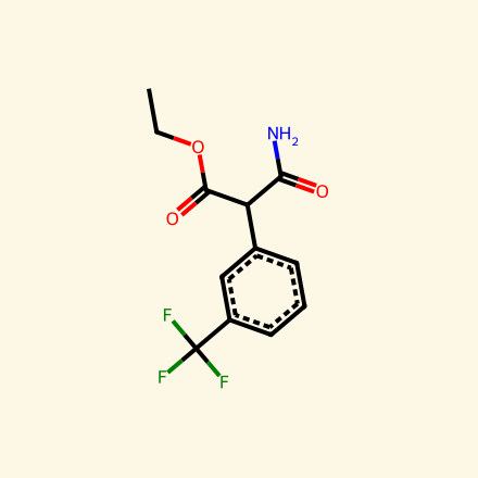 CCOC(=O)C(C(N)=O)c1cccc(C(F)(F)F)c1